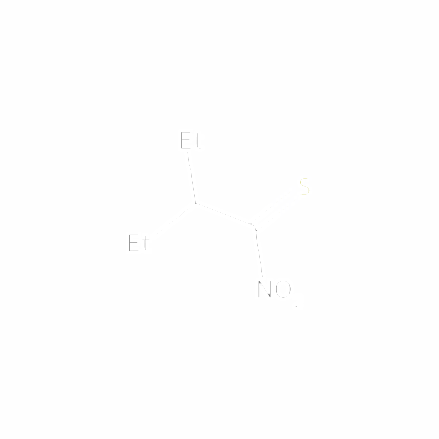 CCC(CC)C(=S)[N+](=O)[O-]